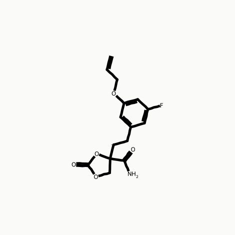 C=CCOc1cc(F)cc(C[CH]C2(C(N)=O)COC(=O)O2)c1